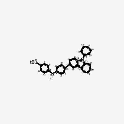 CC(C)(C)c1ccc(N(I)c2ccc(-c3ccc4c(c3)c3ccccc3n4-c3ccccc3)cc2)cc1